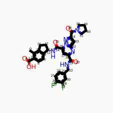 Cc1c(C(=O)O)ccc2c1CC[C@@H]2NC(=O)c1cc(C(=O)NCc2ccc(F)c(F)c2)nc2cc(C(=O)N3CCCC3)nn12